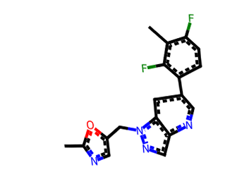 Cc1ncc(Cn2ncc3ncc(-c4ccc(F)c(C)c4F)cc32)o1